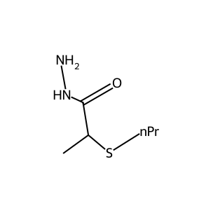 CCCSC(C)C(=O)NN